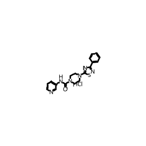 Cl.O=C(Nc1cccnc1)N1CCN(c2nc(-c3ccccc3)ns2)CC1